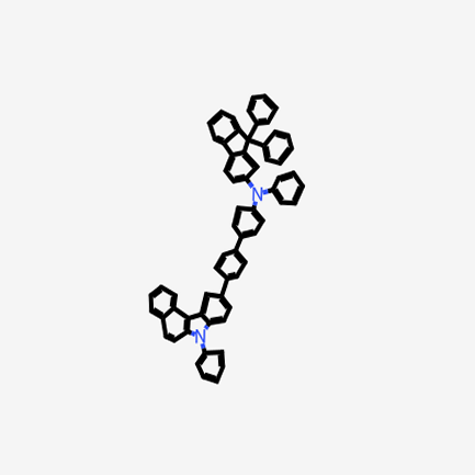 c1ccc(N(c2ccc(-c3ccc(-c4ccc5c(c4)c4c6ccccc6ccc4n5-c4ccccc4)cc3)cc2)c2ccc3c(c2)C(c2ccccc2)(c2ccccc2)c2ccccc2-3)cc1